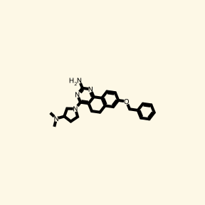 CN(C)C1CCN(c2nc(N)nc3c2CCc2cc(OCc4ccccc4)ccc2-3)C1